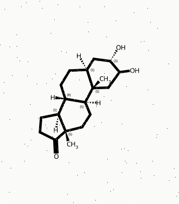 C[C@]12CC(O)[C@@H](O)C[C@@H]1CC[C@@H]1[C@@H]2CC[C@]2(C)C(=O)CC[C@@H]12